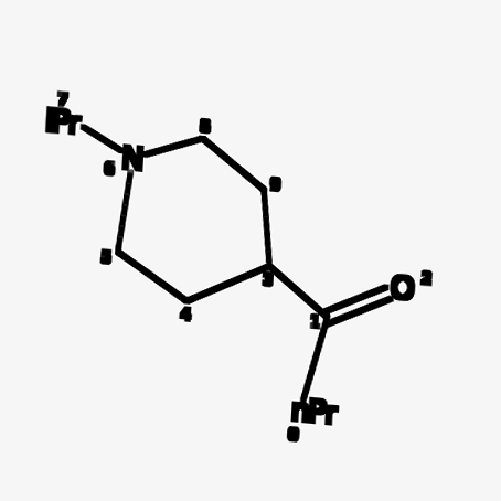 CCCC(=O)C1CCN(C(C)C)CC1